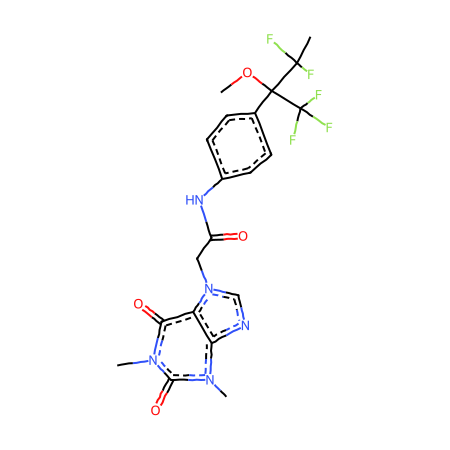 COC(c1ccc(NC(=O)Cn2cnc3c2c(=O)n(C)c(=O)n3C)cc1)(C(C)(F)F)C(F)(F)F